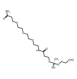 C[C@@](O)(OCCC=O)OCCC(=O)NCCOCCOCCOCCC(N)=O